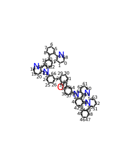 c1ccc(-c2ccccc2-c2ccc3c(c2)c2ncccc2n3-c2cccc(-c3cccc4c3oc3ccc(-n5c6ccc(-c7ccccc7-c7ccccn7)cc6c6ncccc65)cc34)c2)nc1